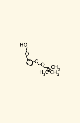 C[Si](C)(C)CCOCOc1cccc(COCCO)c1